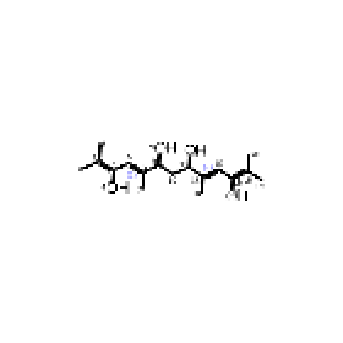 CC(C)=C(O)/C=C(\C)C(O)CC(O)/C(C)=C/C(O)=C(C)C